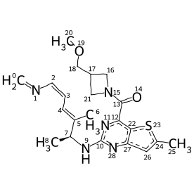 C=N/C=C\C=C(/C)[C@H](C)Nc1nc(C(=O)N2CC(COC)C2)c2sc(C)cc2n1